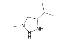 CC(C)C1CN(C)NN1